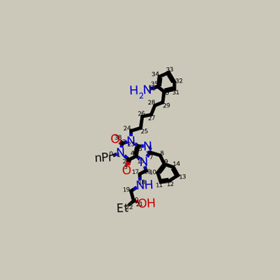 CCCn1c(=O)c2c(nc(Cc3ccccc3)n2CCNCC(O)CC)n(CCCCCCc2ccccc2N)c1=O